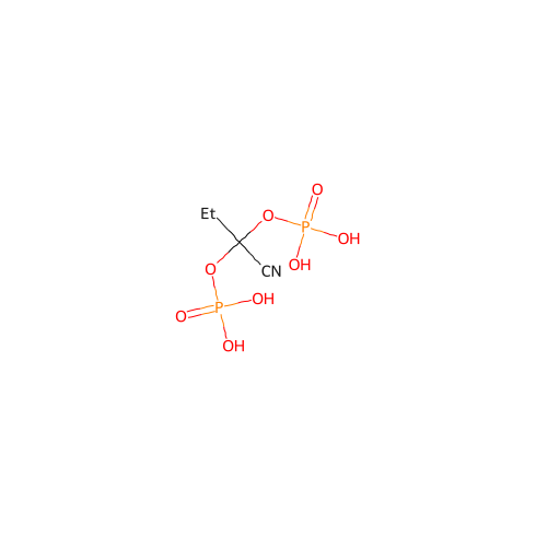 CCC(C#N)(OP(=O)(O)O)OP(=O)(O)O